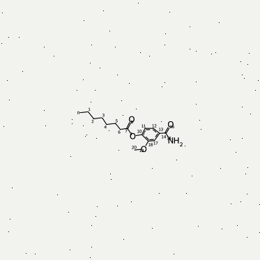 CCCCCCCC(=O)Oc1ccc(C(N)=O)cc1OC